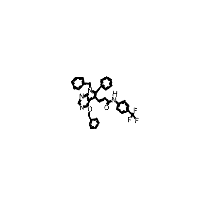 O=C(/C=C/c1c(-c2ccccc2)n(Cc2ccccc2)c2ncnc(OCc3ccccc3)c12)Nc1ccc(C(F)(F)F)cc1